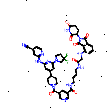 N#Cc1ccnc(Nc2cc(C3CCN(C(=O)c4cncc(C(=O)NCCCCNC(=O)CNc5cccc6c5C(=O)N(C5CCC(=O)NC5=O)C6=O)c4)CC3)cc(N3CCC(F)(F)C3)n2)c1